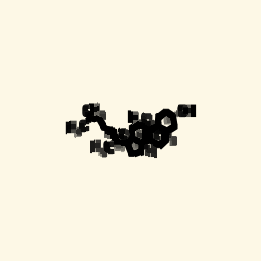 CC(C)CCC[C@@H](C)C1CC[C@H]2[C@]3(C)CC=C4C[C@@H](O)CC[C@]4(C)[C@H]3CC[C@]12C